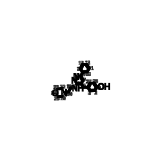 Oc1ccc(Cc2cc(-c3ccccc3)nnc2NCCN2CCOCC2)cc1